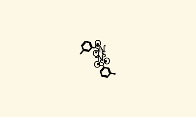 Cc1cccc(S(=O)(=O)N(C)SN(C)S(=O)(=O)c2cccc(C)c2)c1